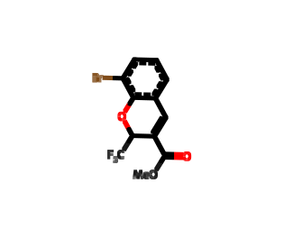 COC(=O)C1=Cc2cccc(Br)c2OC1C(F)(F)F